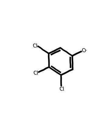 [O]c1cc(Cl)c(Cl)c(Cl)c1